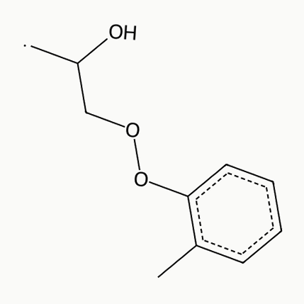 [CH2]C(O)COOc1ccccc1C